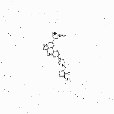 CN/C=C(\C=N)c1cc(-c2ccc(N3CCN(Cc4cccn(C)c4=O)CC3)nc2)c2c(C#N)cnn2c1